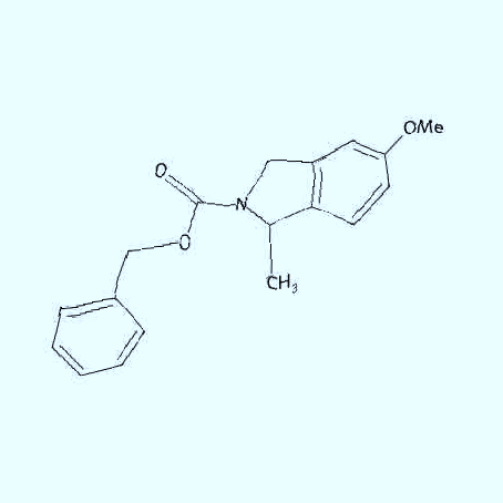 COc1ccc2c(c1)CN(C(=O)OCc1ccccc1)C2C